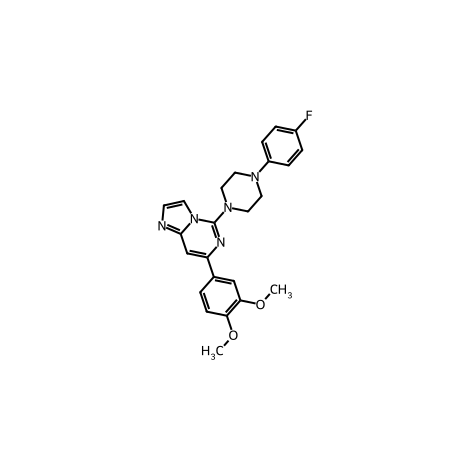 COc1ccc(-c2cc3nccn3c(N3CCN(c4ccc(F)cc4)CC3)n2)cc1OC